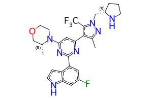 Cc1nn(C[C@@H]2CCCN2)c(C(F)(F)F)c1-c1cc(N2CCOC[C@H]2C)nc(-c2cc(F)cc3[nH]ccc23)n1